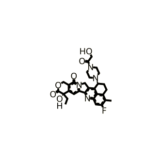 CC[C@@]1(O)C(=O)OCc2c1cc1n(c2=O)Cc2c-1nc1cc(F)c(C)c3c1c2[C@@H](N1CCN(C(=O)CO)CC1)CC3